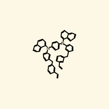 C=Cc1cccc(Cc2cccc(N(c3ccc(N(c4cccc(Cc5cccc(C=C)c5)c4)c4cccc5ccccc45)cc3)c3cccc4ccccc34)c2)c1